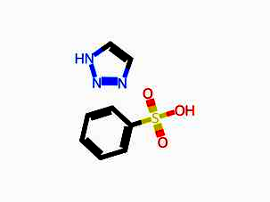 O=S(=O)(O)c1ccccc1.c1c[nH]nn1